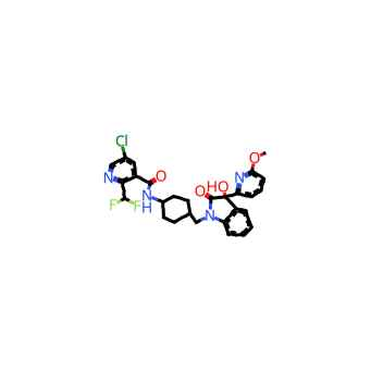 COc1cccc(C2(O)C(=O)N(CC3CCC(NC(=O)c4cc(Cl)cnc4C(F)F)CC3)c3ccccc32)n1